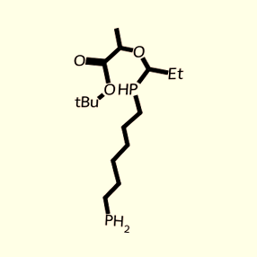 CCC(OC(C)C(=O)OC(C)(C)C)PCCCCCCP